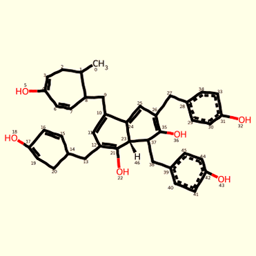 CC1CC=C(O)C=CC1CC1=CC(CC2C=CC(O)=CC2)=C(O)[C@@H]2C1=CC(Cc1ccc(O)cc1)=C(O)C2Cc1ccc(O)cc1